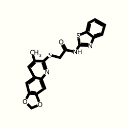 Cc1cc2cc3c(cc2nc1SCC(=O)Nc1nc2ccccc2s1)OCO3